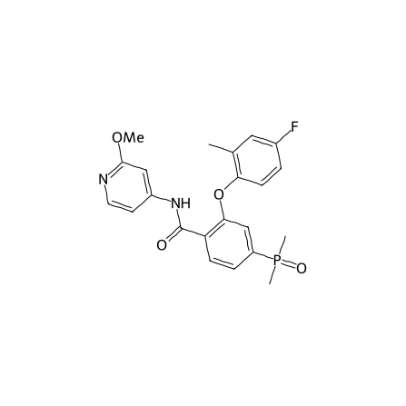 COc1cc(NC(=O)c2ccc(P(C)(C)=O)cc2Oc2ccc(F)cc2C)ccn1